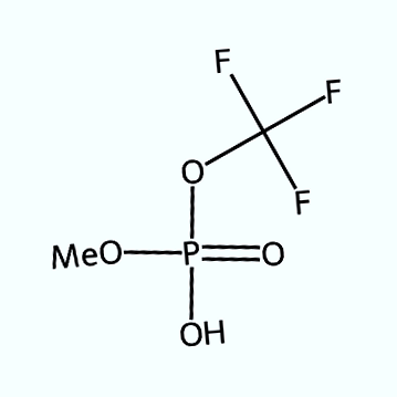 COP(=O)(O)OC(F)(F)F